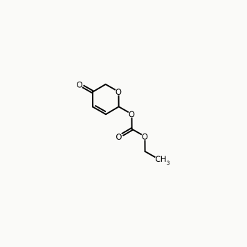 CCOC(=O)OC1C=CC(=O)CO1